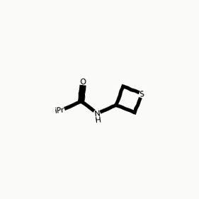 CC(C)C(=O)NC1CSC1